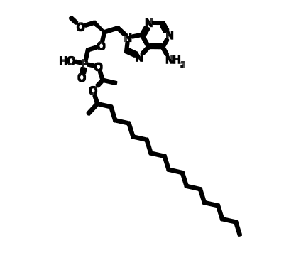 CCCCCCCCCCCCCCCCC(C)OC(C)OP(=O)(O)CO[C@@H](COC)Cn1cnc2c(N)ncnc21